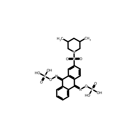 CC1CC(C)CN(S(=O)(=O)c2ccc3c(c2)/C(=N/OP(=O)(O)O)c2ccccc2/C3=N/OP(=O)(O)O)C1